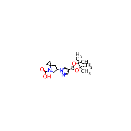 CC1(C)OB(c2cnn(C3CN(C(=O)O)C4(CC4)C3)c2)OC1(C)C